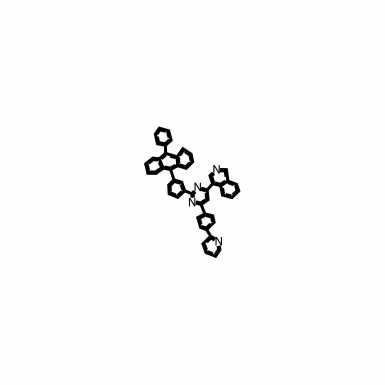 c1ccc(-c2c3ccccc3c(-c3cccc(-c4nc(-c5ccc(-c6ccccn6)cc5)cc(-c5cncc6ccccc56)n4)c3)c3ccccc23)cc1